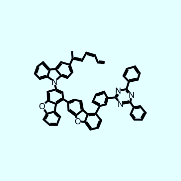 C=C/C=C\C=C(/C)c1ccc2c(c1)c1ccccc1n2-c1cc(-c2ccc3c(c2)oc2cccc(-c4cccc(-c5nc(-c6ccccc6)nc(-c6ccccc6)n5)c4)c23)c2c(c1)oc1ccccc12